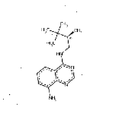 C[C@@H](CNc1ncnc2c(N)cccc12)C(C)(C)C